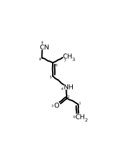 C=CC(=O)N/C=C(\C)CC#N